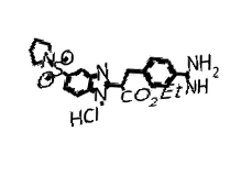 CCOC(=O)C(Cc1ccc(C(=N)N)cc1)c1nc2cc(S(=O)(=O)N3CCCC3)ccc2n1C.Cl